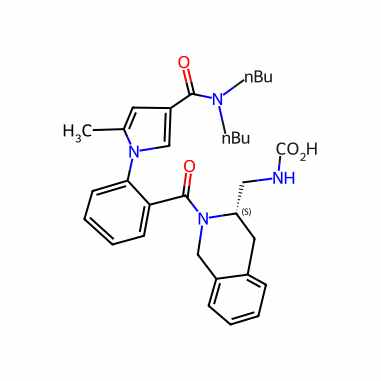 CCCCN(CCCC)C(=O)c1cc(C)n(-c2ccccc2C(=O)N2Cc3ccccc3C[C@H]2CNC(=O)O)c1